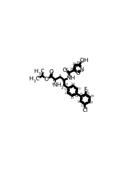 CC(C)OC(=O)[C@H](N)CC(Cc1ccc(-c2cc(Cl)ccc2F)cc1)NC(=O)c1cc(O)no1